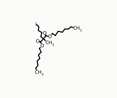 CCCCCCCCOC(=O)C(C)(CCCCI)C(=O)OCCCCCCCC